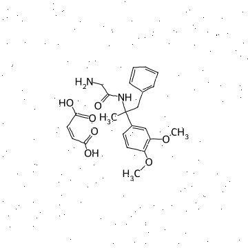 COc1ccc(C(C)(Cc2ccccc2)NC(=O)CN)cc1OC.O=C(O)/C=C\C(=O)O